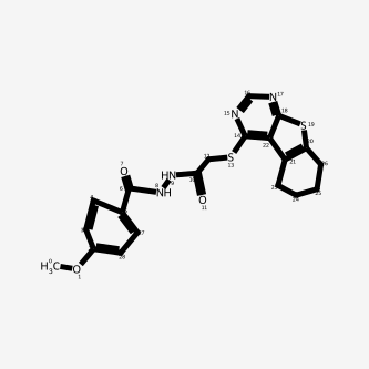 COc1ccc(C(=O)NNC(=O)CSc2ncnc3sc4c(c23)CCCC4)cc1